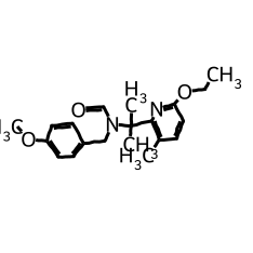 CCOc1ccc(C)c(C(C)(C)N(C=O)Cc2ccc(OC)cc2)n1